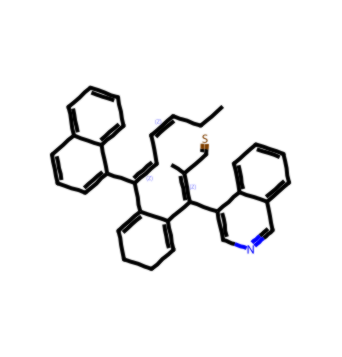 CC/C=C\C=C(\C1=CCCC=C1/C(=C(\C)C=S)c1cncc2ccccc12)c1cccc2ccccc12